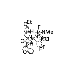 CCO[C@@H]1C[C@@H]2CN(C(=O)[C@@H](NC(=O)[C@@H](CF)NC)C3CCC(F)(F)CC3)[C@H](C(=O)N[C@@H]3CCOc4ccccc43)CN2C1.Cl.Cl